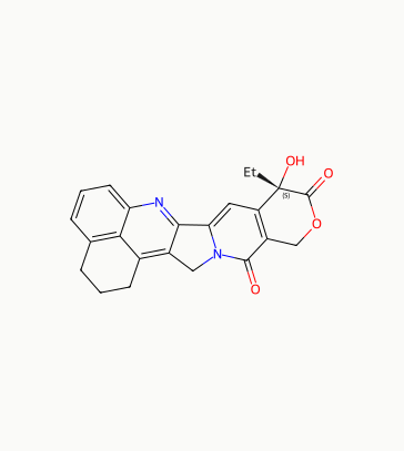 CC[C@@]1(O)C(=O)OCc2c1cc1n(c2=O)Cc2c-1nc1cccc3c1c2CCC3